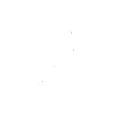 CC(=O)O[C@H]1CC[C@@]2(C)C(=C(C#N)CC3[C@]2(C)CC[C@]2(C)C(c4cccnc4)=CC[C@@]32C)C1